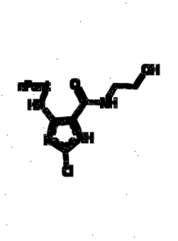 CCCCCNc1nc(Cl)[nH]c1C(=O)NCCO